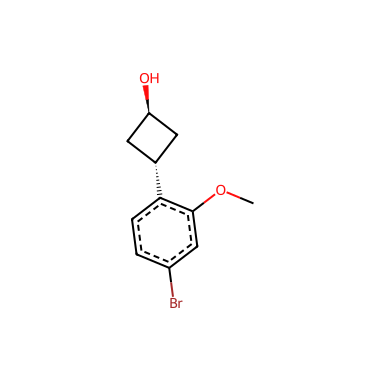 COc1cc(Br)ccc1[C@H]1C[C@H](O)C1